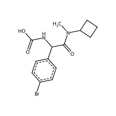 CN(C(=O)C(NC(=O)O)c1ccc(Br)cc1)C1CCC1